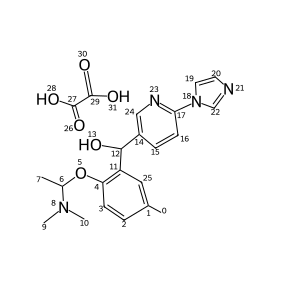 Cc1ccc(OC(C)N(C)C)c(C(O)c2ccc(-n3ccnc3)nc2)c1.O=C(O)C(=O)O